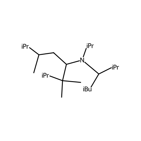 CCC(C)C(C(C)C)N(C(C)C)C(CC(C)C(C)C)C(C)(C)C(C)C